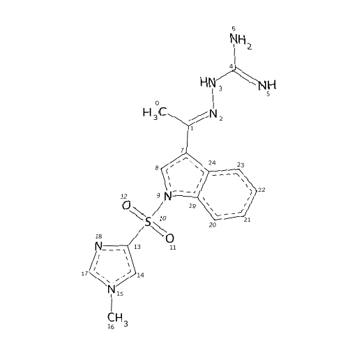 CC(=NNC(=N)N)c1cn(S(=O)(=O)c2cn(C)cn2)c2ccccc12